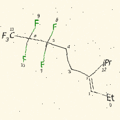 CC/C=C(/CCC(F)(F)C(F)(F)C(F)(F)F)C(C)C